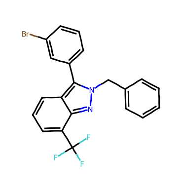 FC(F)(F)c1cccc2c(-c3cccc(Br)c3)n(Cc3ccccc3)nc12